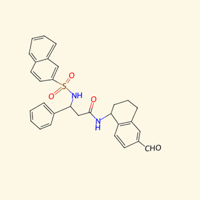 O=Cc1ccc2c(c1)CCCC2NC(=O)CC(NS(=O)(=O)c1ccc2ccccc2c1)c1ccccc1